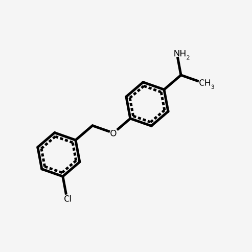 CC(N)c1ccc(OCc2cccc(Cl)c2)cc1